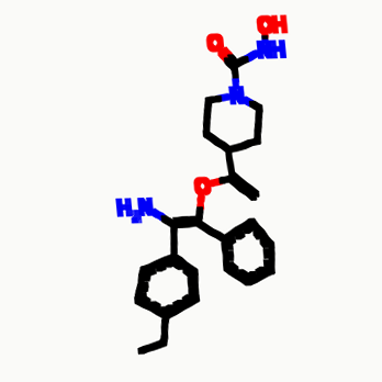 C=C(O/C(=C(\N)c1ccc(CC)cc1)c1ccccc1)C1CCN(C(=O)NO)CC1